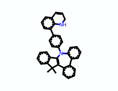 CC1(C)C2=C(c3ccccc31)N(c1ccc(-c3cccc4c3NCC=C4)cc1)c1ccccc1-c1ccccc12